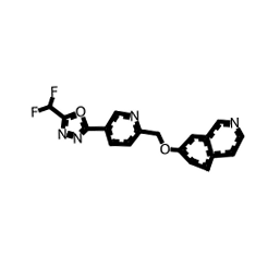 FC(F)c1nnc(-c2ccc(COc3ccc4ccncc4c3)nc2)o1